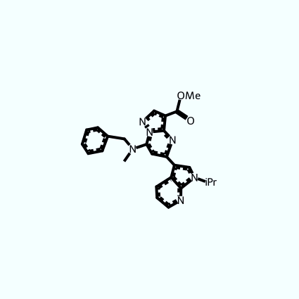 COC(=O)c1cnn2c(N(C)Cc3ccccc3)cc(-c3cn(C(C)C)c4ncccc34)nc12